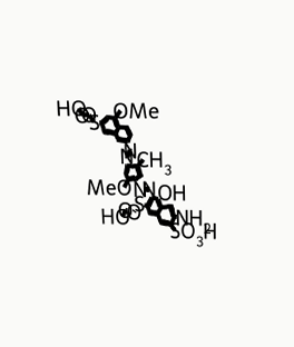 COc1cc(N=Nc2ccc3c(OC)cc(SOOO)cc3c2)c(C)cc1N=Nc1c(SOOO)cc2cc(S(=O)(=O)O)c(N)cc2c1O